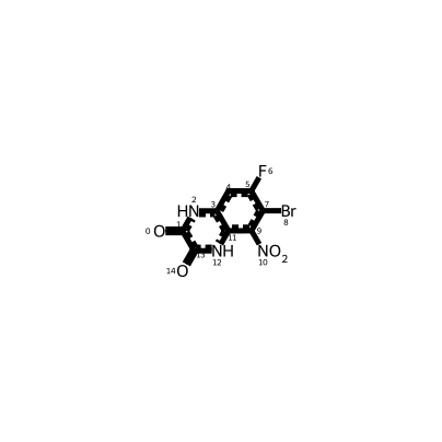 O=c1[nH]c2cc(F)c(Br)c([N+](=O)[O-])c2[nH]c1=O